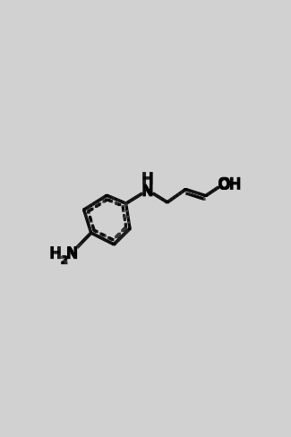 Nc1ccc(NCC=CO)cc1